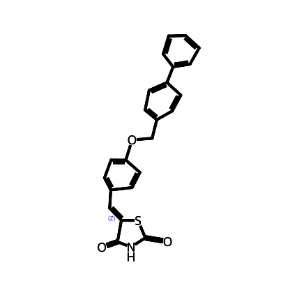 O=C1NC(=O)/C(=C/c2ccc(OCc3ccc(-c4ccccc4)cc3)cc2)S1